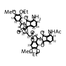 CCOc1cc(C(CS(=O)(=O)CCCS(=O)(=O)CC(c2ccc(OC)c(OCC)c2)N2C(=O)c3cccc(NC(C)=O)c3C2=O)N2C(=O)c3cccc(N)c3C2=O)ccc1OC